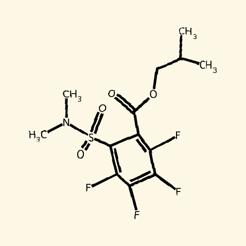 CC(C)COC(=O)c1c(F)c(F)c(F)c(F)c1S(=O)(=O)N(C)C